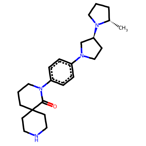 C[C@H]1CCCN1[C@H]1CCN(c2ccc(N3CCCC4(CCNCC4)C3=O)cc2)C1